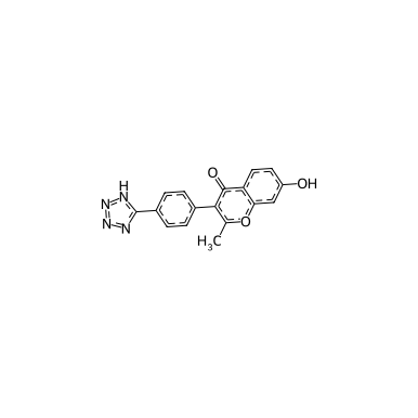 Cc1oc2cc(O)ccc2c(=O)c1-c1ccc(-c2nnn[nH]2)cc1